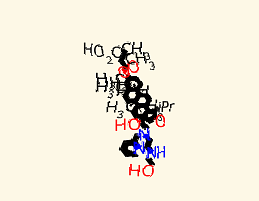 CC(C)C1=C2[C@H]3CC[C@@H]4[C@@]5(C)CC[C@H](OC(=O)CC(C)(C)C(=O)O)C(C)(C)[C@@H]5CC[C@@]4(C)[C@]3(C)CCC2(C(O)CN(CCNCCO)Cc2ccccn2)CC1=O